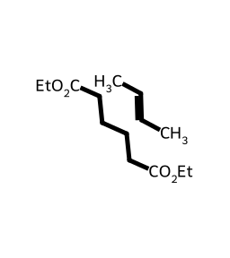 CC=CC.CCOC(=O)CCCCC(=O)OCC